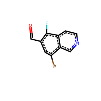 O=Cc1cc(Br)c2cnccc2c1F